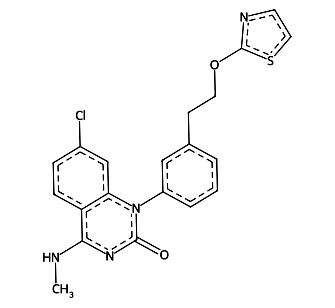 CNc1nc(=O)n(-c2cccc(CCOc3nccs3)c2)c2cc(Cl)ccc12